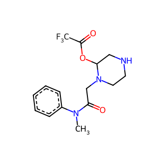 CN(C(=O)CN1CCNCC1OC(=O)C(F)(F)F)c1ccccc1